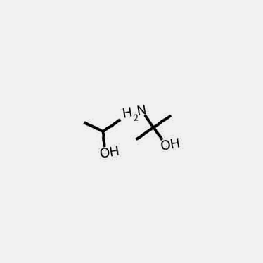 CC(C)(N)O.CC(C)O